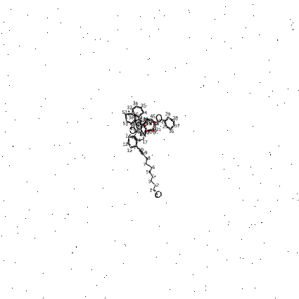 O=CCCCCCCCC#Cc1cccc2c1CN(C1CCC(Oc3ccccc3)NC1Oc1ccccc1)C2(Oc1ccccc1)Oc1ccccc1